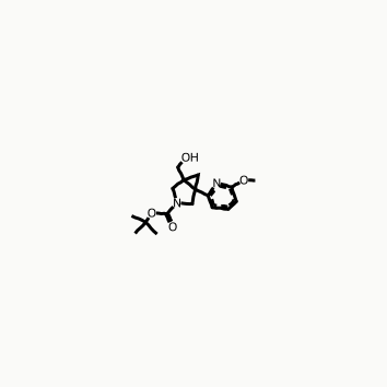 COc1cccc(C23CN(C(=O)OC(C)(C)C)CC2(CO)C3)n1